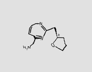 Nc1ccnc(C[C@H]2CCCO2)n1